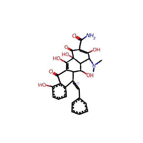 CN(C)C1C(O)=C(C(N)=O)C(=O)C2(O)C(O)=C3C(=O)c4c(O)cccc4/C(=C\c4ccccc4)C3C(O)C12